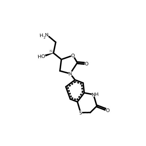 NC[C@H](O)C1CN(c2ccc3c(c2)NC(=O)CS3)C(=O)O1